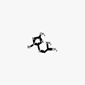 C=C(N)/C=N\c1nc(C)nn1CC